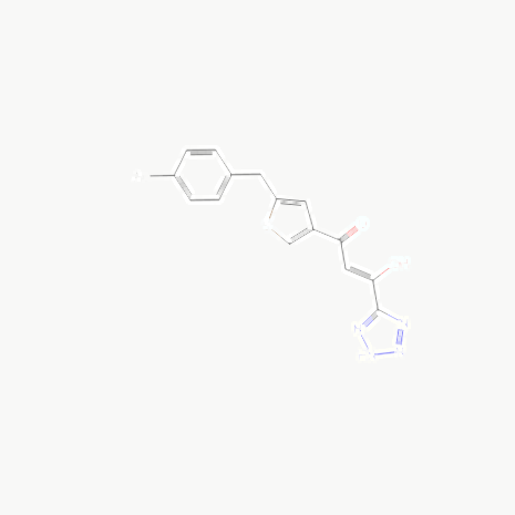 CC(=O)c1ccc(Cc2cc(C(=O)C=C(O)c3nn[nH]n3)cs2)cc1